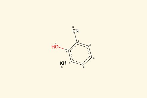 N#Cc1ccccc1O.[KH]